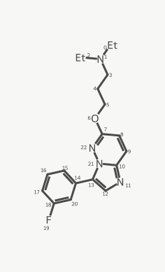 CCN(CC)CCCOc1ccc2ncc(-c3cccc(F)c3)n2n1